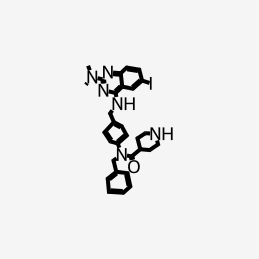 CN(C)c1nc(NCc2ccc(N(Cc3ccccc3)C(=O)C3CCNCC3)cc2)c2cc(I)ccc2n1